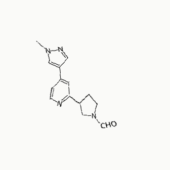 Cn1cc(-c2ccnc(C3CCN(C=O)C3)c2)cn1